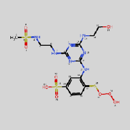 CS(=O)(=O)NCCNc1nc(NCCO)nc(Nc2cc(S(=O)(=O)O)ccc2SOOO)n1